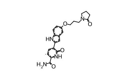 NC(=O)c1[c]cc(-c2cc3cc(OCCCN4CCCC4=O)ccc3[nH]2)c(=O)[nH]1